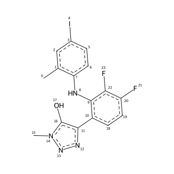 Cc1cc(I)ccc1Nc1c(-c2nnn(C)c2O)ccc(F)c1F